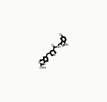 COc1ncc2cc(Cc3cncc(C(=O)NCc4n[nH]c5ccc(Cl)cc45)c3)ccc2n1